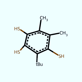 Cc1c(C)c(S)c(C(C)(C)C)c(S)c1S